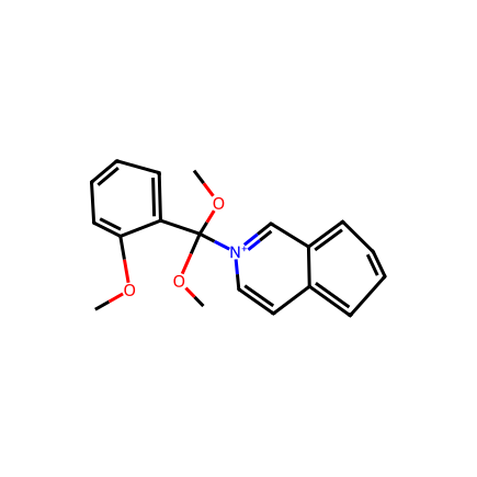 COc1ccccc1C(OC)(OC)[n+]1ccc2ccccc2c1